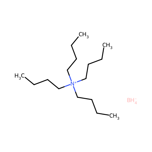 CCCC[N+](CCCC)(CCCC)CCCC.[BH4-]